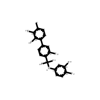 Cc1ccc(-c2ccc(C(F)(F)Oc3ccc(F)c(F)c3)c(F)c2)c(F)c1F